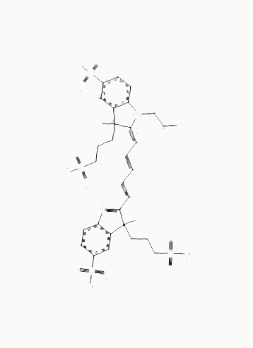 CC1(CCCS(=O)(=O)O)C(/C=C/C=C/C=C2/N(CCO)c3ccc(S(=O)(=O)O)cc3C2(C)CCCS(=O)(=O)O)=Nc2ccc(S(=O)(=O)O)cc21